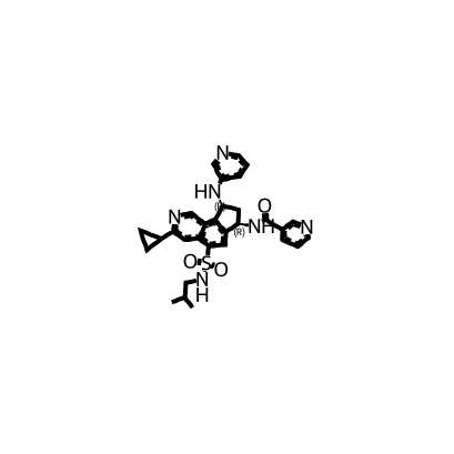 CC(C)CNS(=O)(=O)c1cc2c(c3cnc(C4CC4)cc13)[C@H](Nc1cccnc1)C[C@H]2NC(=O)c1cccnc1